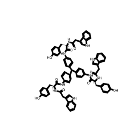 O=C(Cc1c[nH]c2ccccc12)N[C@@H](Cc1ccc(O)cc1)C(=O)Nc1ccc(C(c2ccc(NC(=O)[C@H](Cc3ccc(O)cc3)NC(=O)Cc3c[nH]c4ccccc34)cc2)c2ccc(NC(=O)[C@H](Cc3ccc(O)cc3)NC(=O)Cc3c[nH]c4ccccc34)cc2)cc1